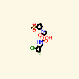 CS(=O)(=O)c1cccc(N2CC[C@](O)(OC(=O)NCc3cc(F)cc(Cl)c3)C2=O)c1